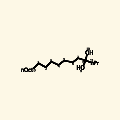 CCCCCCCCCCCCCCCC(O)(O)CCC